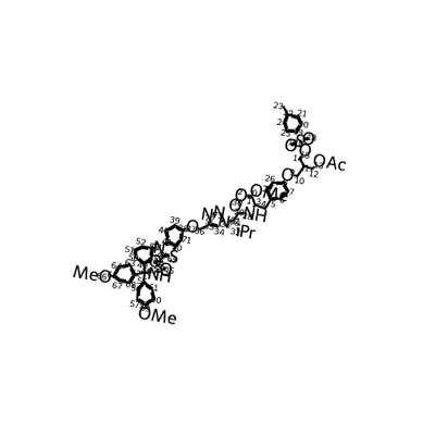 COC(=O)C(Cc1ccc(OCC(COC(C)=O)COS(=O)(=O)c2ccc(C)cc2)cc1)NC(=O)[C@H](C(C)C)n1cc(COc2ccc3nc(S(=O)(=O)NC(c4ccccc4)(c4ccc(OC)cc4)c4ccc(OC)cc4)sc3c2)nn1